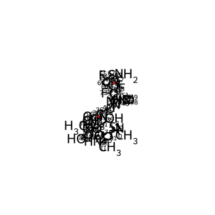 Cc1ncsc1-c1ccc([C@H](C)NC(=O)[C@@H]2C[C@@H](O)CN2C(=O)[C@@H](N2C(=O)CC[C@@H]2CCCN2CCC[C@@]2(CO)COc2nc(N3CC4CCC(C3)N4)c3cc(C(F)(F)F)c(-c4ccc(F)c5sc(N)nc45)c(F)c3n2)C(C)(C)C)cc1